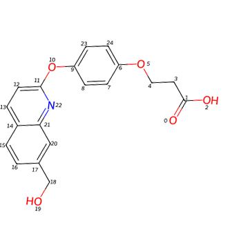 O=C(O)CCOc1ccc(Oc2ccc3ccc(CO)cc3n2)cc1